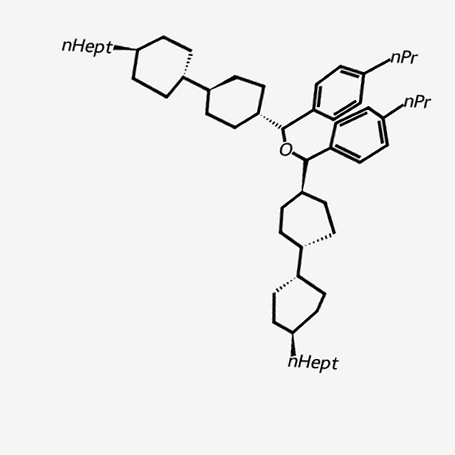 CCCCCCC[C@H]1CC[C@H]([C@H]2CC[C@H](C(OC(c3ccc(CCC)cc3)[C@H]3CC[C@H]([C@H]4CC[C@H](CCCCCCC)CC4)CC3)c3ccc(CCC)cc3)CC2)CC1